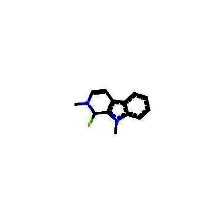 CN1C=Cc2c(n(C)c3ccccc23)C1F